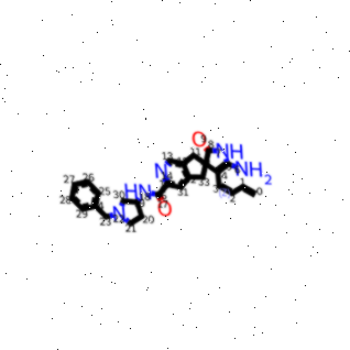 C=C/C=C\C1=C(N)NC(=O)C12Cc1cnc(C(=O)NC3CCN(Cc4ccccc4)C3)cc1C2